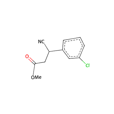 COC(=O)CC(C#N)c1cccc(Cl)c1